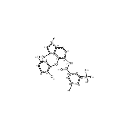 Cn1nc(N)c2c(Oc3cc(F)ccc3Cl)c(NC(=O)c3cc(F)cc(C(F)(F)F)c3)ccc21